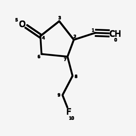 C#CC1CC(=O)CC1CCF